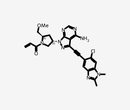 C=CC(=O)N1C[C@@H](n2nc(C#Cc3cc4nc(C)n(C)c4cc3Cl)c3c(N)ncnc32)C[C@@H]1COC